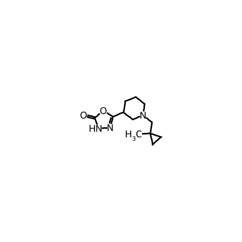 CC1(CN2CCCC(c3n[nH]c(=O)o3)C2)CC1